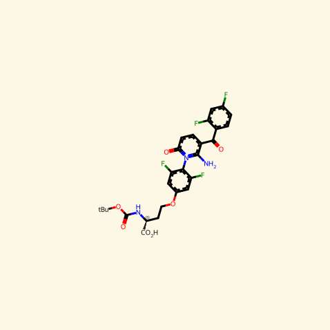 CC(C)(C)OC(=O)N[C@@H](CCOc1cc(F)c(-n2c(N)c(C(=O)c3ccc(F)cc3F)ccc2=O)c(F)c1)C(=O)O